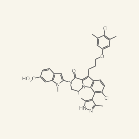 Cc1cc(OCCCc2c3n(c4c(-c5c(C)n[nH]c5C)c(Cl)ccc24)[C@H](C)CN(c2cc4ccc(C(=O)O)cc4n2C)C3=O)cc(C)c1Cl